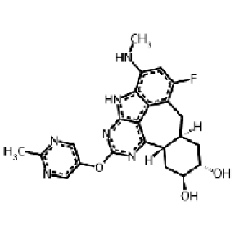 CNc1cc(F)c2c3c1[nH]c1nc(Oc4cnc(C)nc4)nc(c13)[C@H]1C[C@H](O)[C@@H](O)C[C@@H]1C2